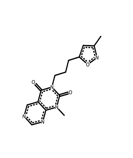 Cc1cc(CCCn2c(=O)c3cncnc3n(C)c2=O)on1